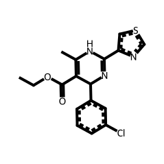 CCOC(=O)C1=C(C)NC(c2cscn2)=NC1c1cccc(Cl)c1